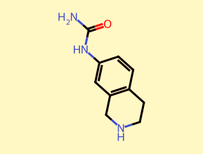 NC(=O)Nc1ccc2c(c1)CNCC2